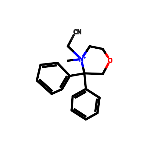 C[N+]1(CC#N)CCOCC1(c1ccccc1)c1ccccc1